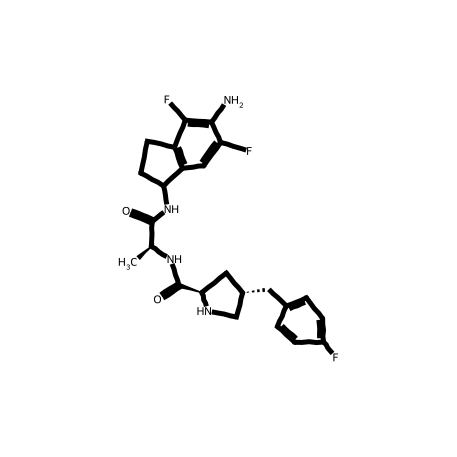 C[C@H](NC(=O)[C@H]1C[C@H](Cc2ccc(F)cc2)CN1)C(=O)NC1CCc2c1cc(F)c(N)c2F